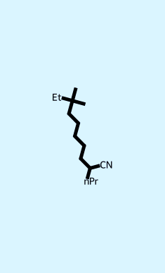 CCCC(C#N)CCCCCC(C)(C)CC